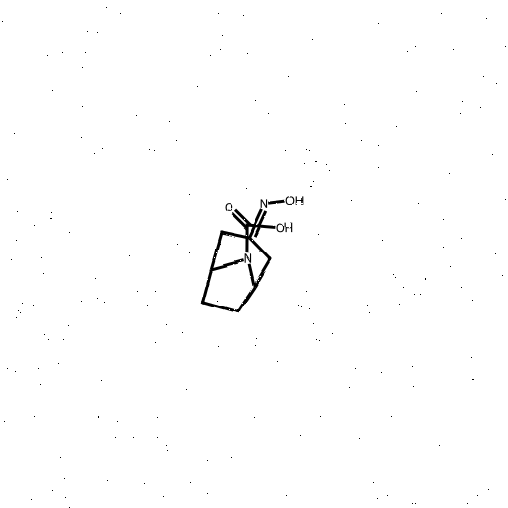 O=C(O)N1C2CCC1CC(=NO)C2